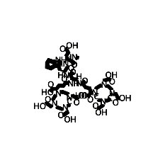 CNC(=O)[C@@H](CCC(=O)O)NC(=O)[C@H](Cc1c[nH]c2ccccc12)NC(=O)C(CNC(=O)CCC(C(=O)O)N1CCN(CC(=O)O)CCN(CC(=O)O)CCN(CC(=O)O)CC1)NC(=O)CCC(C(=O)O)N1CCN(CC(=O)O)CCN(CC(=O)O)CCN(CC(=O)O)CC1